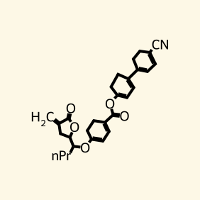 C=C1CC(C(CCC)OC2=CC=C(C(=O)OC3=CC=C(C4=CC=C(C#N)CC4)CC3)CC2)OC1=O